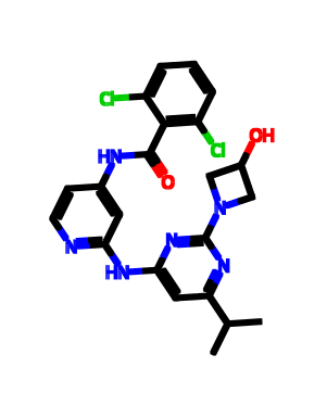 CC(C)c1cc(Nc2cc(NC(=O)c3c(Cl)cccc3Cl)ccn2)nc(N2CC(O)C2)n1